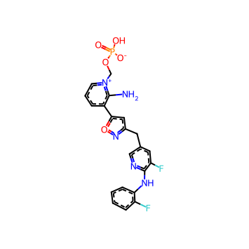 Nc1c(-c2cc(Cc3cnc(Nc4ccccc4F)c(F)c3)no2)ccc[n+]1COP(=O)([O-])O